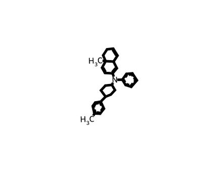 Cc1ccc(C2CCC(N(C3=CC4C=CCCC4(C)C=C3)c3ccccc3)CC2)cc1